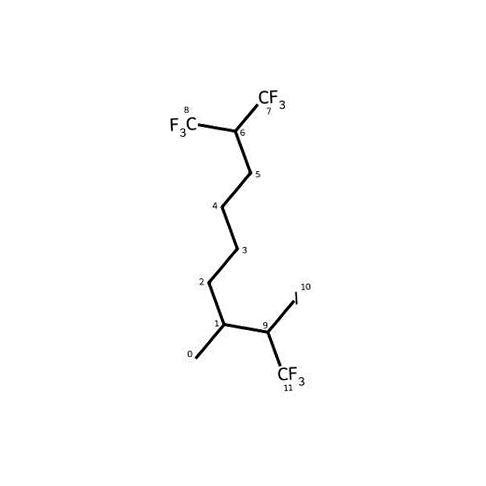 CC(CCCCC(C(F)(F)F)C(F)(F)F)C(I)C(F)(F)F